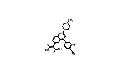 CC(=N)/C(=C(/C)O)c1ccc2nc(N3CCC(N)CC3)nc(-c3ccc(C#N)c(F)c3)c2c1